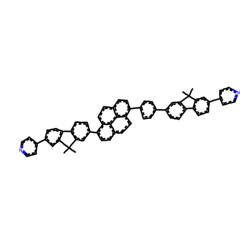 CC1(C)c2cc(-c3ccncc3)ccc2-c2ccc(-c3ccc(-c4ccc5ccc6c(-c7ccc8c(c7)C(C)(C)c7cc(-c9ccncc9)ccc7-8)ccc7ccc4c5c76)cc3)cc21